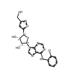 OCc1cc([C@H]2O[C@@H](n3cnc4c(Nc5ccccc5Cl)ncnc43)[C@H](O)[C@@H]2O)on1